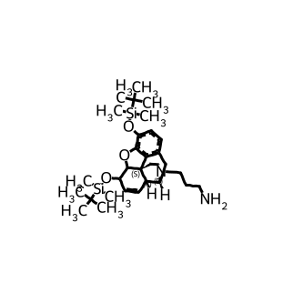 CC(C)(C)[Si](C)(C)Oc1ccc2c3c1OC1C(O[Si](C)(C)C(C)(C)C)C=C[C@H]4[C@@H](C2)N(CCCN)CC[C@]314